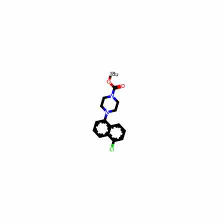 CC(C)(C)OC(=O)N1CCN(c2cccc3c(Cl)cccc23)CC1